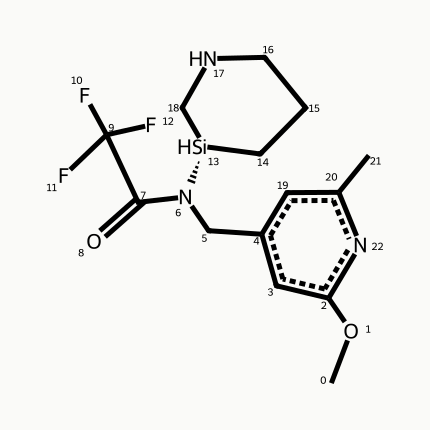 COc1cc(CN(C(=O)C(F)(F)F)[Si@H]2CCCNC2)cc(C)n1